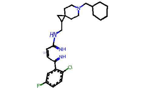 N=C(/C=C\C(=N)c1cc(F)ccc1Cl)NCC1CC12CCN(CC1CCCCC1)CC2